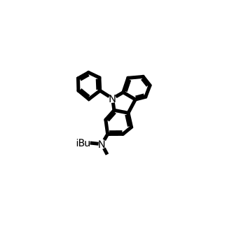 CCC(C)N(C)c1ccc2c3ccccc3n(-c3ccccc3)c2c1